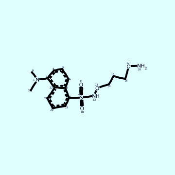 CN(C)c1cccc2c(S(=O)(=O)NOCCCON)cccc12